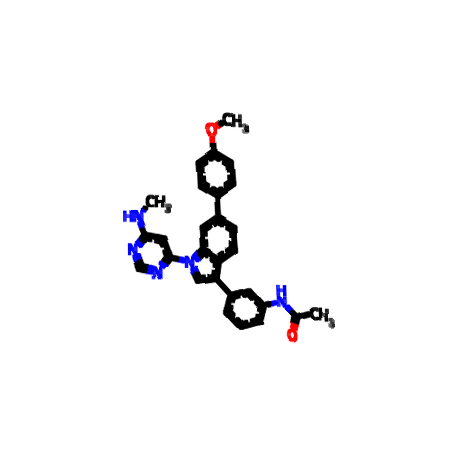 CNc1cc(-n2cc(-c3cccc(NC(C)=O)c3)c3ccc(-c4ccc(OC)cc4)cc32)ncn1